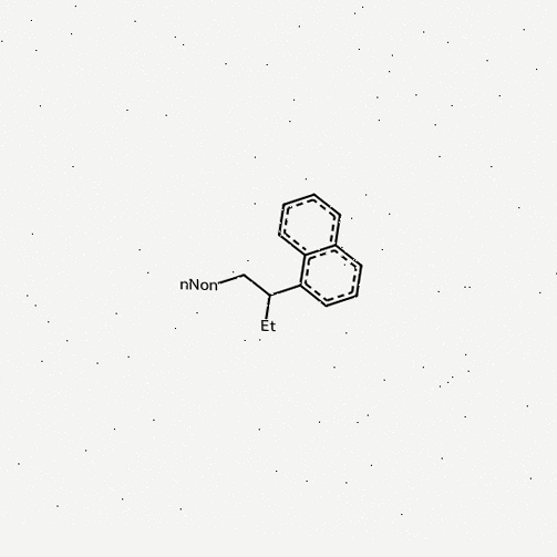 [CH2]CC(CCCCCCCCCC)c1cccc2ccccc12